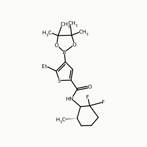 CCc1sc(C(=O)NC2[C@@H](C)CCCC2(F)F)cc1B1OC(C)(C)C(C)(C)O1